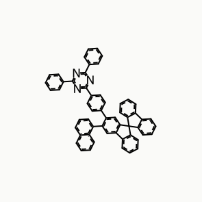 c1ccc(-c2nc(-c3ccccc3)nc(-c3ccc(-c4cc5c(cc4-c4cccc6ccccc46)-c4ccccc4C54c5ccccc5-c5ccccc54)cc3)n2)cc1